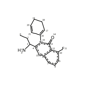 CCC(N)c1nc2cccc(F)c2c(=O)n1C1=CCCC=C1